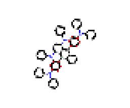 c1ccc(N(c2ccccc2)c2ccc(-c3c4ccccc4c(-c4ccc(N(c5ccccc5)c5ccccc5)cc4)c4c(N(c5ccccc5)c5ccccc5)ccc(N(c5ccccc5)c5ccccc5)c34)cc2)cc1